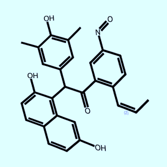 C/C=C\c1ccc(N=O)cc1C(=O)C(c1cc(C)c(O)c(C)c1)c1c(O)ccc2ccc(O)cc12